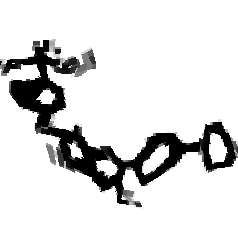 CC(C)(C(=O)O)c1ccc(Oc2nc3nc(-c4ccc(N5CCOCC5)cc4)c(C(F)(F)F)cc3[nH]2)cc1